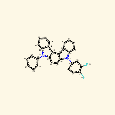 Fc1ccc(-n2c3ccccc3c3c4c5ccccc5n(-c5ccccc5)c4ccc32)cc1F